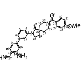 C=C1N(c2cccc(-c3ccc(C=N)c(N)c3)c2)CCC12CCN(C(=O)c1ccc(OC)cc1)CC2